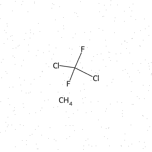 C.FC(F)(Cl)Cl